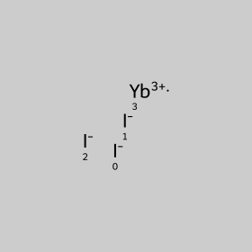 [I-].[I-].[I-].[Yb+3]